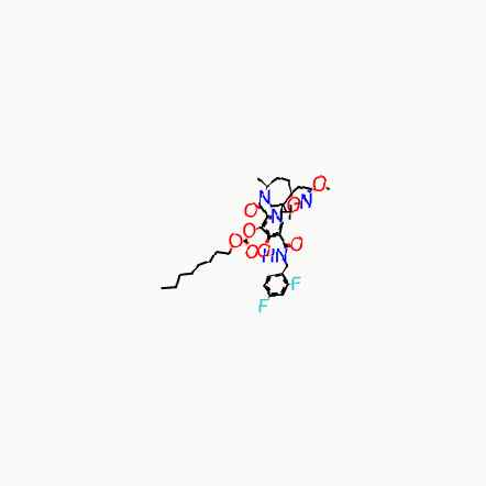 CCCCCCCCOC(=O)Oc1c2n(cc(C(=O)NCc3ccc(F)cc3F)c1=O)[C@@H]1CN(C2=O)[C@@H](C)CC[C@]12CC(OC)=NO2